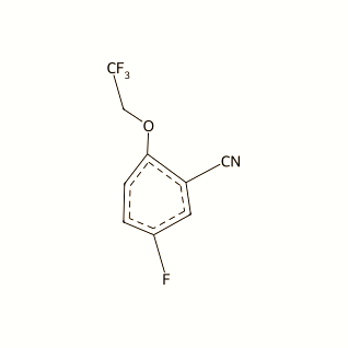 N#Cc1cc(F)ccc1OCC(F)(F)F